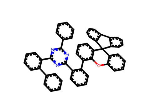 c1ccc(-c2nc(-c3ccccc3-c3ccccc3)nc(-c3ccccc3-c3cccc4c3Oc3ccccc3C43c4ccccc4-c4ccccc43)n2)cc1